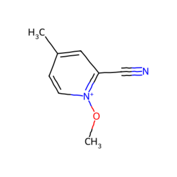 CO[n+]1ccc(C)cc1C#N